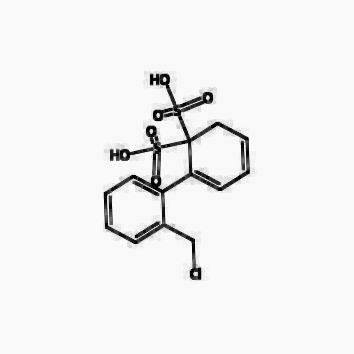 O=S(=O)(O)C1(S(=O)(=O)O)CC=CC=C1c1ccccc1CCl